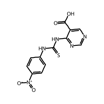 O=C(O)c1cncnc1NC(=S)Nc1ccc([N+](=O)[O-])cc1